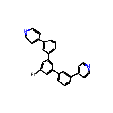 CCc1cc(-c2cccc(-c3ccncc3)c2)cc(-c2cccc(-c3ccncc3)c2)c1